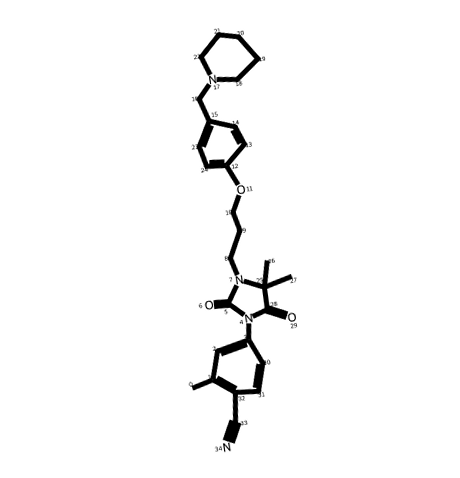 Cc1cc(N2C(=O)N(CCCOc3ccc(CN4CCCCC4)cc3)C(C)(C)C2=O)ccc1C#N